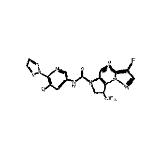 O=C(Nc1cnc(-n2nccn2)c(Cl)c1)N1CC(C(F)(F)F)c2c1cnc1c(F)cnn21